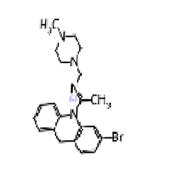 C/C(=N\CN1CCN(C)CC1)N1c2ccccc2Cc2ccc(Br)cc21